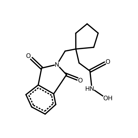 O=C(CC1(CN2C(=O)c3ccccc3C2=O)CCCC1)NO